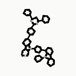 c1ccc(-c2cc(-c3ccccc3)nc(-c3ccc(-c4ccc5c6ccccc6n(-c6ccc(-c7cccc8c9ccccc9n(-c9ccccc9)c78)cc6)c5c4)cc3)n2)cc1